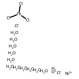 O.O.O.O.O.O.O.O.O.O.O.O.[Cl-].[Cl-].[Cl][Fe]([Cl])[Cl].[Ni+2]